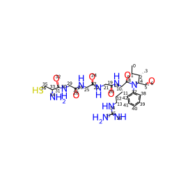 CC[C@H](C)[C@@H]([C]=O)N(C(=O)[C@H](CCCNC(=N)N)NC(=O)CNC(=O)CNC(=O)CNC(=O)[C@@H](N)CS)c1ccccc1